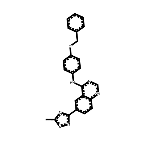 Cc1nnc(-c2ccc3ncnc(Nc4ccc(OCc5ccccc5)cc4)c3c2)o1